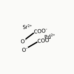 O=C([O-])[O-].O=C([O-])[O-].[Pd+2].[Sr+2]